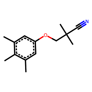 Cc1cc(OCC(C)(C)C#N)cc(C)c1C